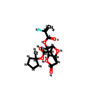 C=C(F)C(=O)OC1(CC)C2OC(=O)C3C2OC1C3C(=O)OC1(CC)CCCC1